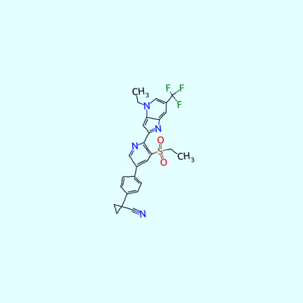 CCn1cc(C(F)(F)F)cc2nc(-c3ncc(-c4ccc(C5(C#N)CC5)cc4)cc3S(=O)(=O)CC)cc1-2